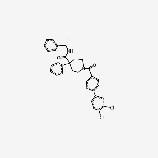 C[C@H](NC(=O)C1(c2ccccc2)CCN(C(=O)c2ccc(-c3ccc(Cl)c(Cl)c3)cc2)CC1)c1ccccc1